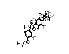 COc1ccc(NS(=O)(=O)c2c(F)c(F)c(NS(C)(=O)=O)c(F)c2F)cc1F